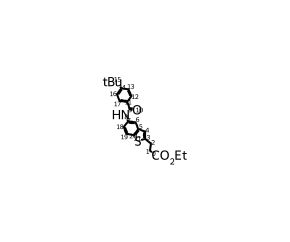 CCOC(=O)CCc1cc2cc(NC(=O)c3ccc(C(C)(C)C)cc3)ccc2s1